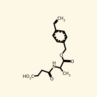 C=Cc1ccc(COC(=O)C(C)NC(=O)CCC(=O)O)cc1